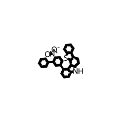 O=[N+]([O-])c1ccc(-c2cccc3[nH]c4ccc5c6ccccc6sc5c4c23)cc1-c1ccccc1